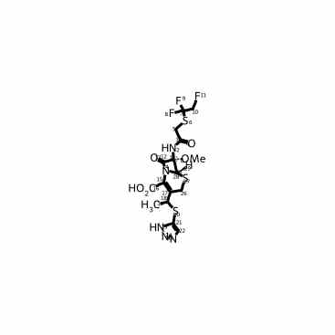 CO[C@@]1(NC(=O)CSC(F)(F)CF)C(=O)N2C(C(=O)O)=C(C(C)Sc3cnn[nH]3)CS[C@H]21